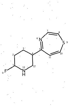 FC1CCC(C2=NC=CSC=C2)CN1